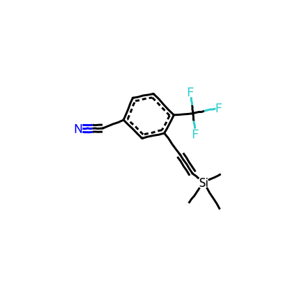 C[Si](C)(C)C#Cc1cc(C#N)ccc1C(F)(F)F